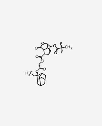 CCC1(OC(=O)COC(=O)C2C3CC4C(OC(=O)C42)C3OC(=O)C(C)(F)F)C2CC3CC(C2)CC1C3